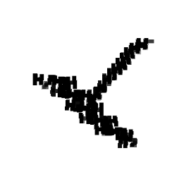 BBBBBBBBBB.[H-].[H-].[H-].[H-].[H-].[H-].[H-].[H-].[H-].[H-].[K+].[K+]